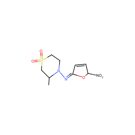 CC1CS(=O)(=O)CCN1N=C1C=CC([N+](=O)[O-])O1